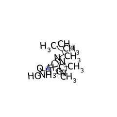 CC(C)CC(C)C(C)c1nc2cc(/C=C/C(=O)NO)ccc2n1CC(C)(C)CN(C)C